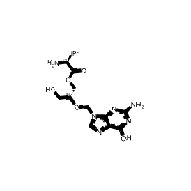 CC(C)[C@H](N)C(=O)OC[C@@H](CO)OCn1cnc2c(O)nc(N)nc21